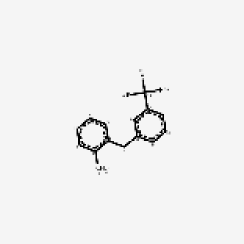 [CH2]c1ccccc1Cc1cccc(C(F)(F)F)c1